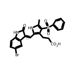 Cc1[nH]c(/C=C2\C(=O)Nc3ccc(Br)cc32)c(CCC(=O)O)c1S(=O)(=O)c1ccccc1